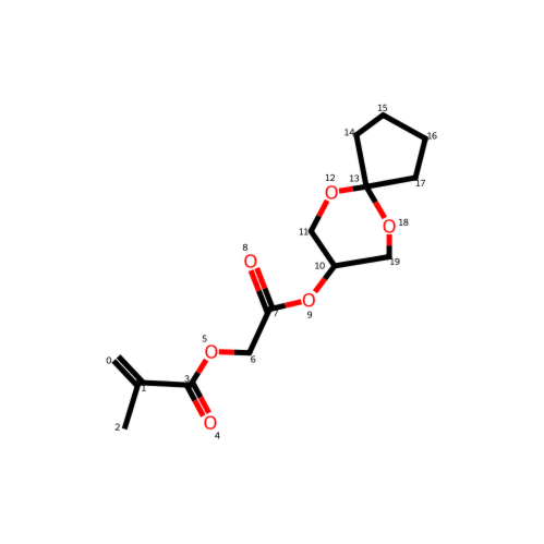 C=C(C)C(=O)OCC(=O)OC1COC2(CCCC2)OC1